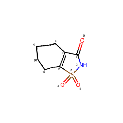 O=C1NS(=O)(=O)C2=C1CCCC2